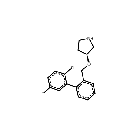 Fc1ccc(Cl)c(-c2ccccc2CO[C@H]2CCNC2)c1